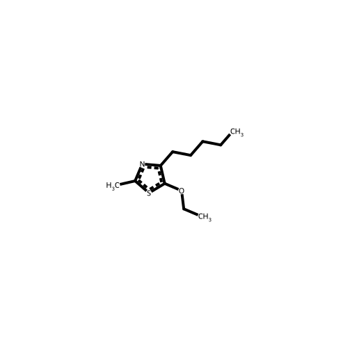 CCCCCc1nc(C)sc1OCC